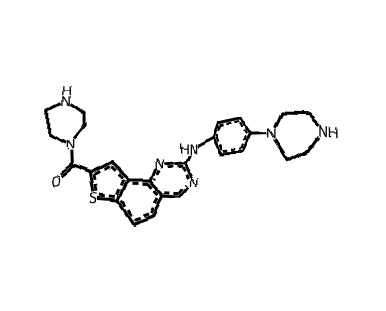 O=C(c1cc2c(ccc3cnc(Nc4ccc(N5CCNCC5)cc4)nc32)s1)N1CCNCC1